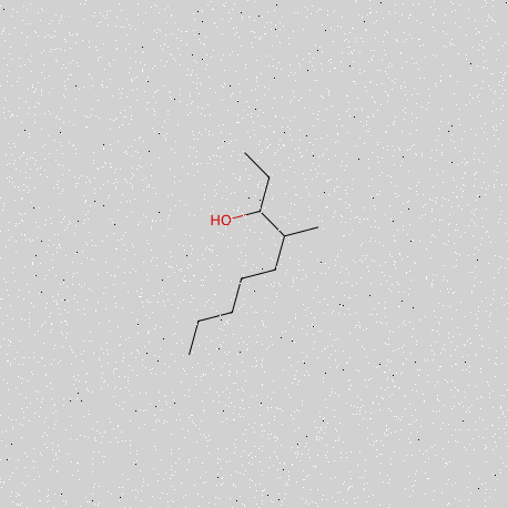 CCCCCC(C)C(O)CC